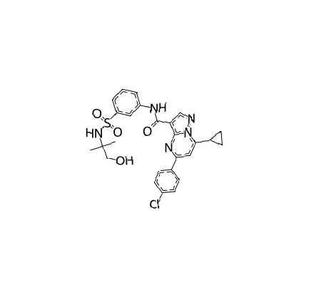 CC(C)(CO)NS(=O)(=O)c1cccc(NC(=O)c2cnn3c(C4CC4)cc(-c4ccc(Cl)cc4)nc23)c1